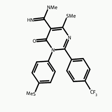 CNC(=N)c1c(SC)nc(-c2ccc(C(F)(F)F)cc2)n(-c2ccc(SC)cc2)c1=O